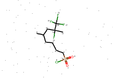 CC(CCCCS(=O)(=O)Cl)CC(C)(F)C(F)(F)F